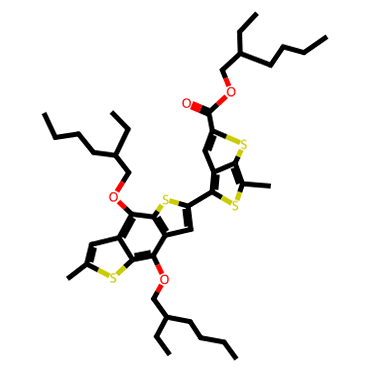 CCCCC(CC)COC(=O)c1cc2c(-c3cc4c(OCC(CC)CCCC)c5sc(C)cc5c(OCC(CC)CCCC)c4s3)sc(C)c2s1